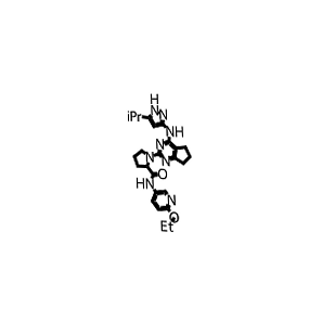 CCOc1ccc(NC(=O)C2CCCN2c2nc3c(c(Nc4cc(C(C)C)[nH]n4)n2)CCC3)cn1